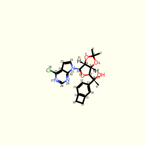 CC1(C)O[C@@H]2[C@H](O1)[C@@H]([C@](C)(O)c1ccc3c(c1)CC3)O[C@H]2n1ccc2c(Cl)ncnc21